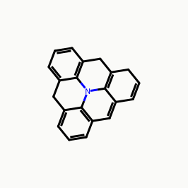 C1=CC2=Cc3cccc4c3N3C2=C(C1)Cc1cccc(c13)C4